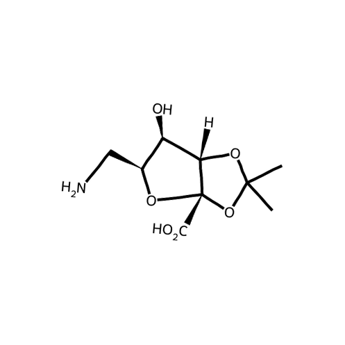 CC1(C)O[C@H]2[C@H](O)[C@H](CN)O[C@@]2(C(=O)O)O1